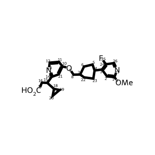 COc1cc(C2CCC(COc3ccnc(C(CC(=O)O)C4CC4)c3)CC2)c(F)cn1